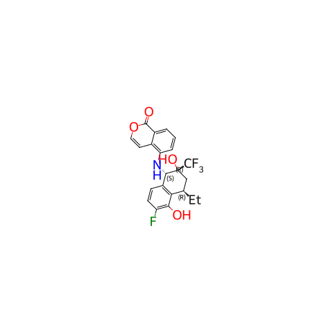 CC[C@@H]1C[C@](O)(C(F)(F)F)[C@@H](Nc2cccc3c(=O)occc23)c2ccc(F)c(O)c21